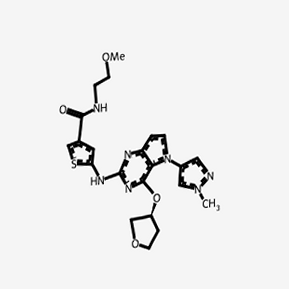 COCCNC(=O)c1csc(Nc2nc(O[C@H]3CCOC3)c3c(ccn3-c3cnn(C)c3)n2)c1